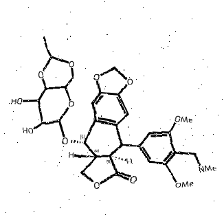 CNCc1c(OC)cc(C2c3cc4c(cc3[C@@H](OC3OC5COC(C)OC5C(O)C3O)[C@H]3COC(=O)[C@H]23)OCO4)cc1OC